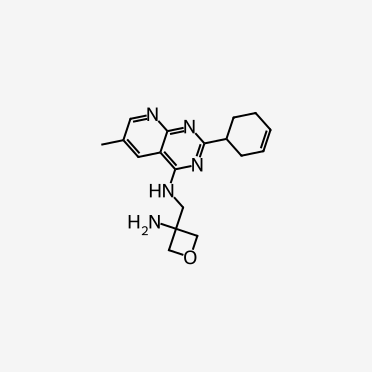 Cc1cnc2nc(C3CC=CCC3)nc(NCC3(N)COC3)c2c1